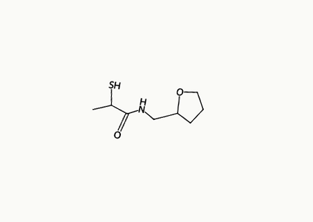 CC(S)C(=O)NCC1CCCO1